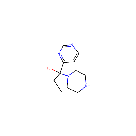 CCC(O)(c1ccncn1)N1CCNCC1